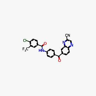 N#Cc1cnc2ccc(C(=O)c3ccc(NC(=O)c4ccc(Cl)c(C(F)(F)F)c4)cc3)cc2n1